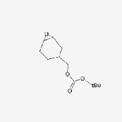 CC(C)(C)OC(=O)OCC1CCC2OC2C1